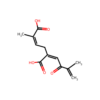 C=C(C)C(=O)C=C(CC=C(C)C(=O)O)C(=O)O